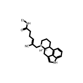 CCNC(=O)CCC=C(C#N)CN1CCCC2c3cccc4[nH]cc(c34)C[C@H]21